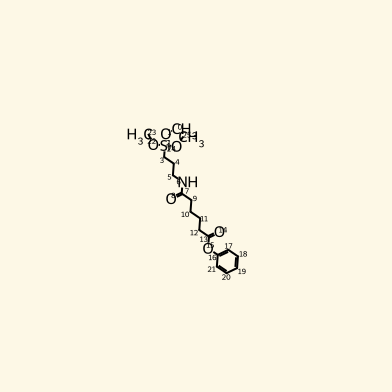 CO[Si](CCCNC(=O)CCCCC(=O)Oc1ccccc1)(OC)OC